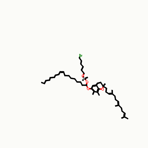 CCCCCCCC/C=C\CCCCCCCC(Oc1cc2c(c(C)c1C)OC(C)(CC/C=C(\C)CC/C=C(\C)CCC=C(C)C)CC2)O[Si](C)(C)OCCCCCCBr